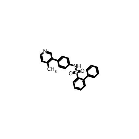 Cc1ccncc1-c1ccc(NS(=O)(=O)c2ccccc2-c2ccccc2)cc1